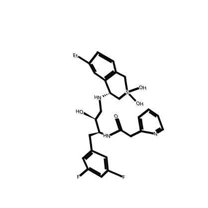 CCc1ccc2c(c1)[C@@H](NC[C@H](O)[C@H](Cc1cc(F)cc(F)c1)NC(=O)Cc1ccccn1)CS(O)(O)C2